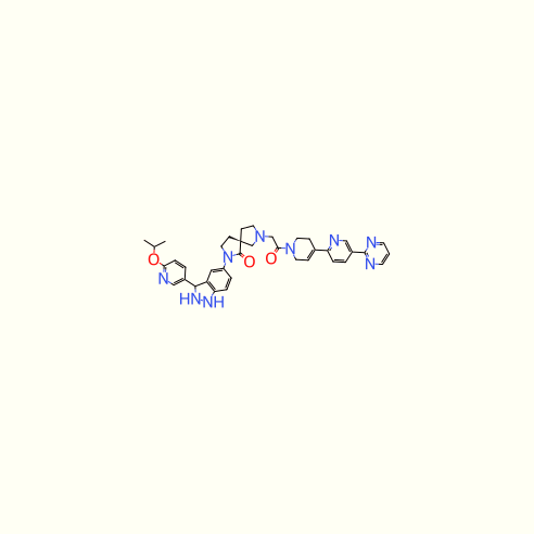 CC(C)Oc1ccc(C2NNc3ccc(N4CC[C@]5(CCN(CC(=O)N6CC=C(c7ccc(-c8ncccn8)cn7)CC6)C5)C4=O)cc32)cn1